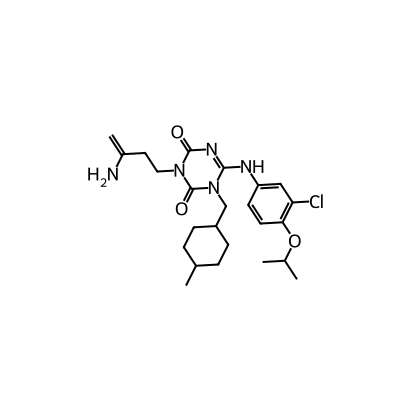 C=C(N)CCn1c(=O)nc(Nc2ccc(OC(C)C)c(Cl)c2)n(CC2CCC(C)CC2)c1=O